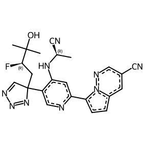 C[C@H](C#N)Nc1cc(-c2ccc3cc(C#N)cnn23)ncc1C1(C[C@@H](F)C(C)(C)O)C=NN=N1